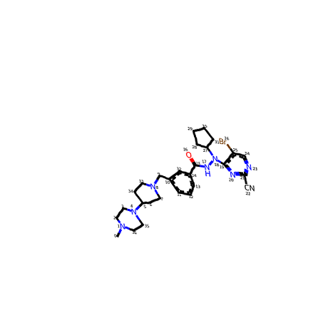 CN1CCN(C2CCN(Cc3cccc(C(=O)NN(c4nc(C#N)ncc4Br)C4CCCC4)c3)CC2)CC1